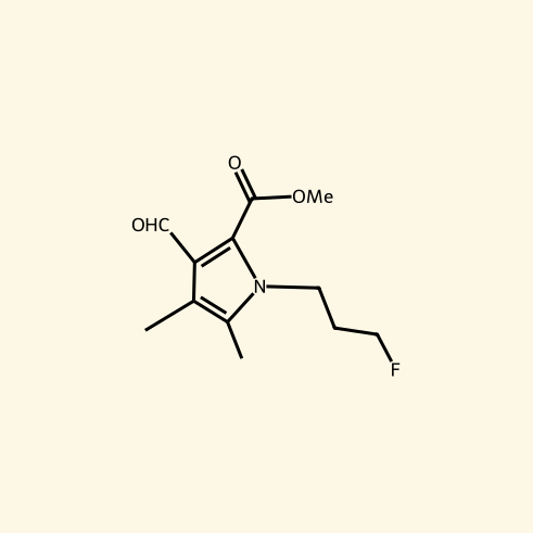 COC(=O)c1c(C=O)c(C)c(C)n1CCCF